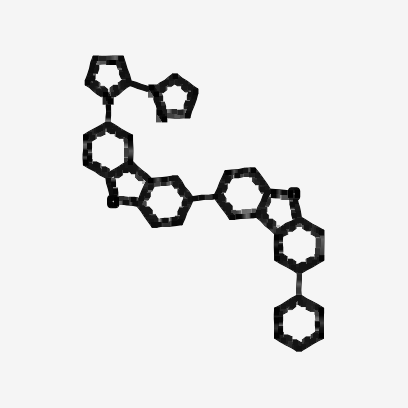 c1ccc(-c2ccc3oc4ccc(-c5ccc6oc7ccc(-n8cccc8-n8cccn8)cc7c6c5)cc4c3c2)cc1